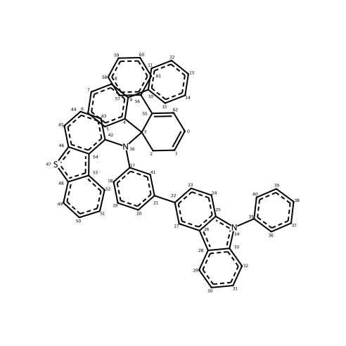 C1=CCC(c2ccccc2-c2ccccc2)(N(c2cccc(-c3ccc4c(c3)c3ccccc3n4-c3ccccc3)c2)c2cccc3sc4ccccc4c23)C(c2ccccc2)=C1